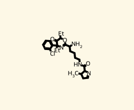 CCC1OC(C(N)CCCCNC(=O)C2N=CCC2C)=NC(CC)(c2ccccc2Cl)C1=O